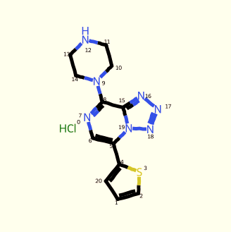 Cl.c1csc(-c2cnc(N3CCNCC3)c3nnnn23)c1